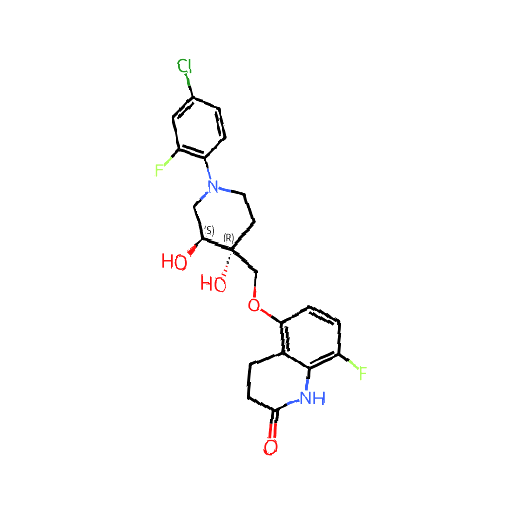 O=C1CCc2c(OC[C@]3(O)CCN(c4ccc(Cl)cc4F)C[C@@H]3O)ccc(F)c2N1